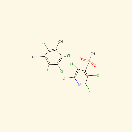 CS(=O)(=O)c1c(Cl)c(Cl)nc(Cl)c1Cl.N#Cc1c(Cl)c(Cl)c(Cl)c(C#N)c1Cl